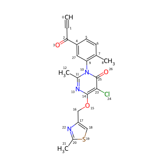 C#CC(=O)c1ccc(C)c(-n2c(C)nc(OCc3csc(C)n3)c(Cl)c2=O)c1